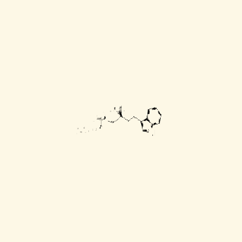 COP(=O)(CC(=O)CCc1c[nH]c2ccccc12)OC